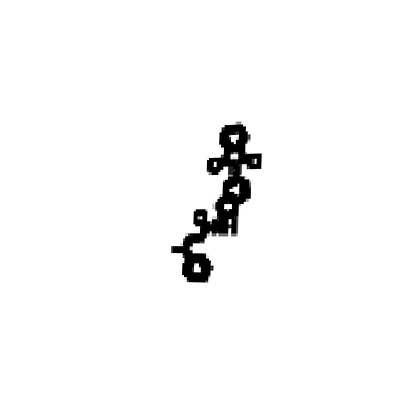 CC(CCC(=O)NC1Cc2ccc(N3C(=O)c4ccccc4C3=O)cc2C1)c1ccccc1